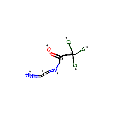 N=C=NC(=O)C(Cl)(Cl)Cl